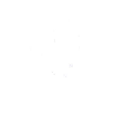 CC(C)n1nnc(C(Cl)(Cl)C(Cl)(Cl)Cl)c1C(F)(F)F